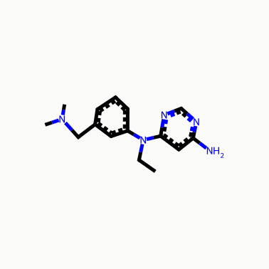 CCN(c1cccc(CN(C)C)c1)c1cc(N)ncn1